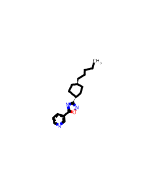 CCCCC[C@H]1CC[C@H](c2noc(-c3cccnc3)n2)CC1